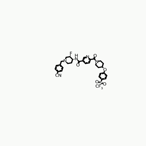 N#Cc1ccc(CN2CC[C@@H](NC(=O)c3ccc(C(=O)N4CCC(Oc5ccc(S(=O)(=O)C(F)(F)F)cc5)CC4)nc3)[C@@H](F)C2)cc1